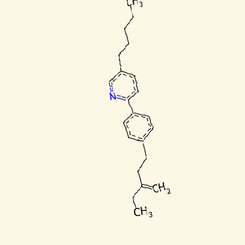 C=C(CC)CCc1ccc(-c2ccc(CCCCC)cn2)cc1